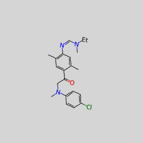 CCN(C)/C=N\c1cc(C)c(C(=O)CN(C)c2ccc(Cl)cc2)cc1C